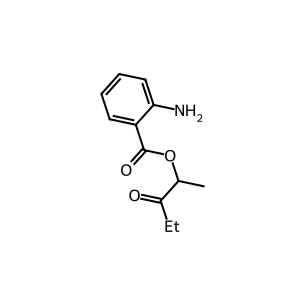 CCC(=O)C(C)OC(=O)c1ccccc1N